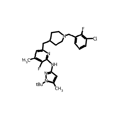 Cc1cc(CC2CCN(Cc3cccc(Cl)c3F)CC2)nc(Nc2cc(C)n(C(C)(C)C)n2)c1F